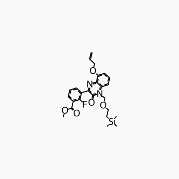 C=CCOc1cccc2c1nc(-c1cccc(C(=O)OC)c1F)c(=O)n2COCC[Si](C)(C)C